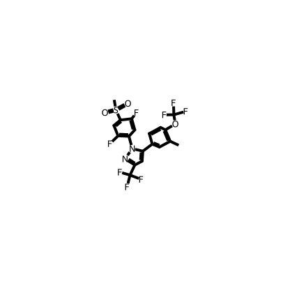 Cc1cc(-c2cc(C(F)(F)F)nn2-c2cc(F)c(S(C)(=O)=O)cc2F)ccc1OC(F)(F)F